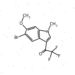 COc1cc2c(cc1Br)c(C(=O)C(F)(F)F)cn2C